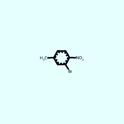 Cc1ccc([N+](=O)[O-])c(Br)c1